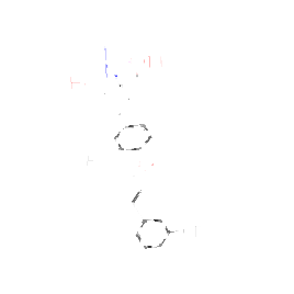 NC(CO)(CO)CCc1ccc(OC/C=C/c2cccc(C(F)(F)F)c2)c(C(F)(F)F)c1